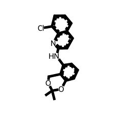 CC1(C)OCc2c(Nc3ccc4cccc(Cl)c4n3)cccc2O1